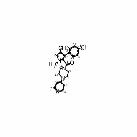 Cc1cn(C)c(C(=O)N2CCN(c3ccncc3)CC2)c1-c1ccc(Cl)cc1